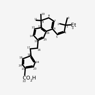 CCC(C)(C)/C=C\C1=CCC(C)(C)c2ccc(CCc3ccc(C(=O)O)cc3)cc21